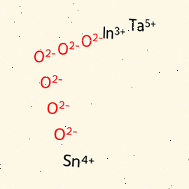 [In+3].[O-2].[O-2].[O-2].[O-2].[O-2].[O-2].[Sn+4].[Ta+5]